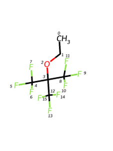 CCOC(C(F)(F)F)(C(F)(F)F)C(F)(F)F